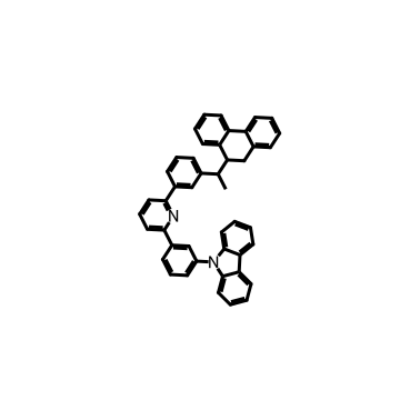 CC(c1cccc(-c2cccc(-c3cccc(-n4c5ccccc5c5ccccc54)c3)n2)c1)C1Cc2ccccc2-c2ccccc21